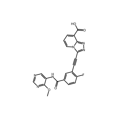 COc1ncncc1NC(=O)c1ccc(F)c(C#Cc2nnc3c(C(=O)O)cccn23)c1